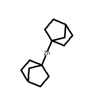 C1C[C]2([Zn][C]34CCC(CC3)C4)CCC1C2